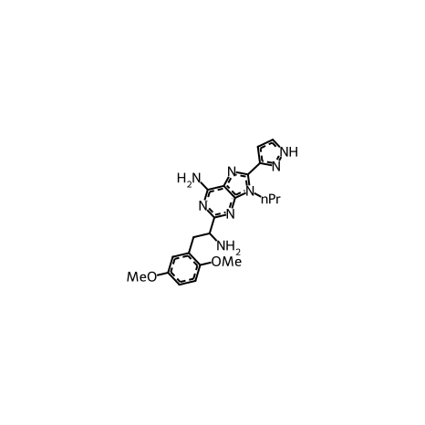 CCCn1c(-c2cc[nH]n2)nc2c(N)nc(C(N)Cc3cc(OC)ccc3OC)nc21